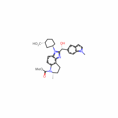 COC(=O)N1c2ccc3c(nc([C@H](O)c4ccc5c(ccn5C)c4)n3[C@@H]3CCC[C@@H](C(=O)O)C3)c2CC[C@@H]1C